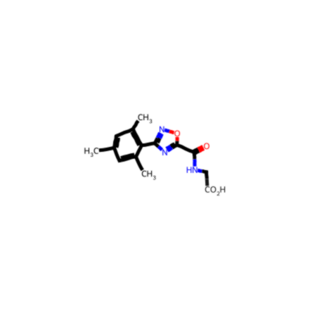 Cc1cc(C)c(-c2noc(C(=O)NCC(=O)O)n2)c(C)c1